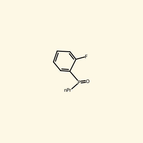 CCC[P](=O)c1ccccc1F